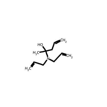 C=CCN(CC=C)C(C)(O)CC=C